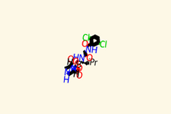 CC(C)C[C@H](NC(=O)CNC(=O)c1cc(Cl)ccc1Cl)B1OC(=O)[C@@H]2CNC[C@@H](C(=O)O1)N2C